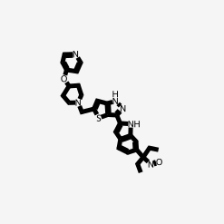 CCC(CC)(N=O)c1ccc2cc(-c3n[nH]c4cc(CN5CCC(Oc6ccncc6)CC5)sc34)[nH]c2c1